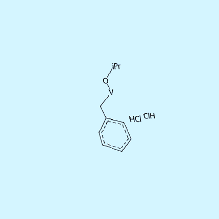 CC(C)[O][V][CH2]c1ccccc1.Cl.Cl